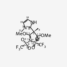 COC(=O)[C@](C)(C(OC)=[N+](S(=O)(=O)C(F)(F)F)S(=O)(=O)C(F)(F)F)c1[nH]cc[n+]1C